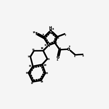 CCOC(=O)c1c(C)[nH]c(=S)n1C1CCc2ccccc2C1